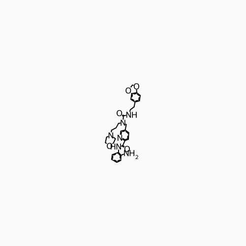 Nc1ccccc1NC(=O)c1ccc(CN(CCCN2CCOCC2)C(=O)NCCc2ccc3c(c2)OCO3)cn1